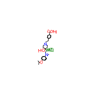 CC(C)Oc1ccc(N(C)CCC2(O)CCN(CCc3ccc(C(=O)O)cc3)CC2)cc1.Cl.Cl